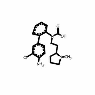 CN1CCCC1CCN(C(=O)O)c1ccccc1-c1ccc(N)c(Cl)c1